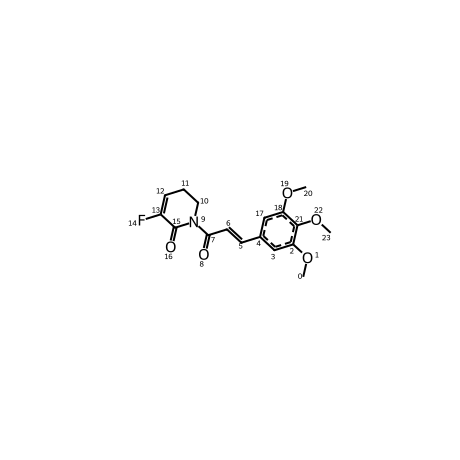 COc1cc(C=CC(=O)N2CCC=C(F)C2=O)cc(OC)c1OC